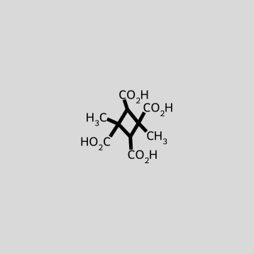 CC1(C(=O)O)C(C(=O)O)C(C)(C(=O)O)C1C(=O)O